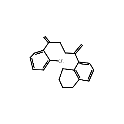 C=C(CCC(=C)c1cccc2c1CCCC2)c1ccccc1C(F)(F)F